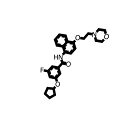 O=C(Nc1ccc(OCCN2CCOCC2)c2ccccc12)c1cc(F)cc(OC2CCCC2)c1